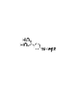 CCCCCCCC1CCC(C(CO)CO)CC1